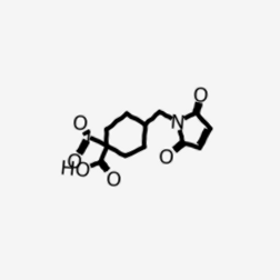 O=C1C=CC(=O)N1CC1CCC(C(=O)O)(I(=O)=O)CC1